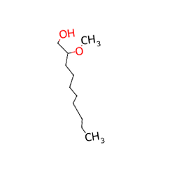 CCCCCCCCC(CO)OC